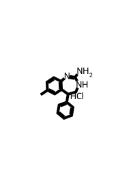 Cc1ccc2c(c1)C(c1ccccc1)CNC(N)=N2.Cl